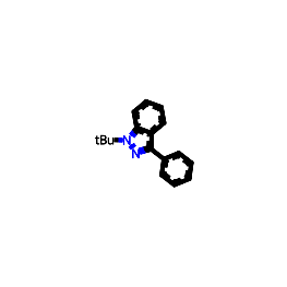 CC(C)(C)n1nc(-c2ccccc2)c2ccccc21